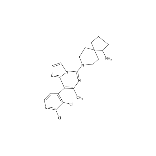 Cc1nc(N2CCC3(CCCC3N)CC2)n2ccnc2c1-c1ccnc(Cl)c1Cl